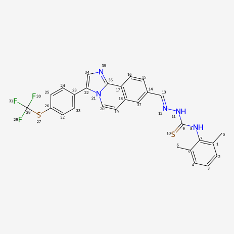 Cc1cccc(C)c1NC(=S)NN=Cc1ccc2c(ccn3c(-c4ccc(SC(F)(F)F)cc4)cnc23)c1